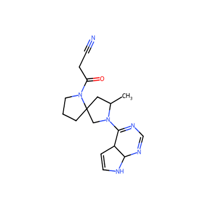 CC1CC2(CCCN2C(=O)CC#N)CN1C1=NC=NC2NC=CC12